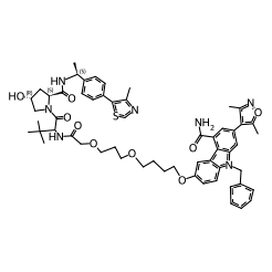 Cc1ncsc1-c1ccc([C@H](C)NC(=O)[C@@H]2C[C@@H](O)CN2C(=O)C(NC(=O)COCCCOCCCCOc2ccc3c(c2)c2c(C(N)=O)cc(-c4c(C)noc4C)cc2n3Cc2ccccc2)C(C)(C)C)cc1